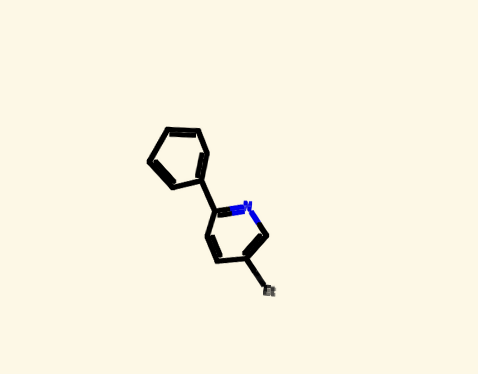 [CH2]Cc1ccc(-c2ccccc2)nc1